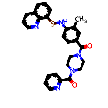 Cc1cc(C(=O)N2CCN(C(=O)c3ccccn3)CC2)ccc1NSc1cccc2cccnc12